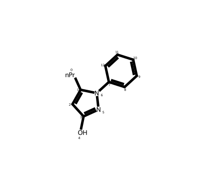 CCCc1cc(O)nn1-c1ccccc1